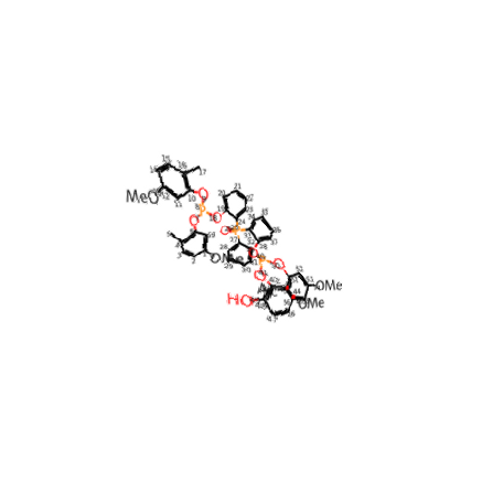 COc1ccc(C)c(OP(Oc2cc(OC)ccc2C)Oc2ccccc2P(=O)(c2ccccc2)c2ccccc2OP(Oc2cc(OC)ccc2O)Oc2cc(OC)ccc2C(C)=O)c1